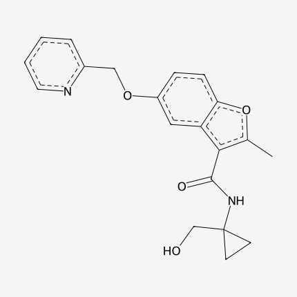 Cc1oc2ccc(OCc3ccccn3)cc2c1C(=O)NC1(CO)CC1